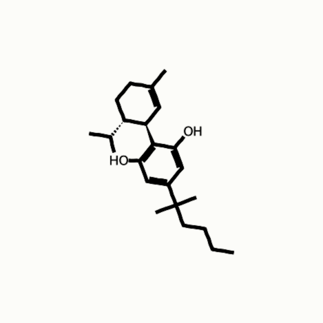 CCCCC(C)(C)c1cc(O)c([C@@H]2C=C(C)CC[C@H]2C(C)C)c(O)c1